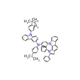 CC(C)c1ccc(N(c2ccc(-n3c4ccccc4c4ccc5cc(-c6ccccc6)n(-c6ccccc6)c5c43)cc2)c2ccc3c(c2)c2ccccc2n3-c2ccc(C(C)(C)C)cc2)cc1